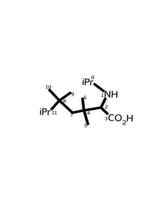 CC(C)NC(C(=O)O)C(C)(C)CC(C)(C)C(C)C